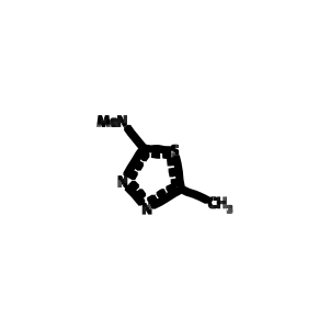 [CH2]Nc1nnc(C)s1